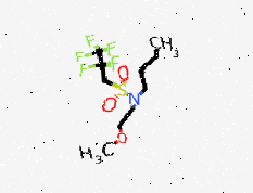 CCCCN(CCOC)S(=O)(=O)CC(F)(F)C(F)(F)F